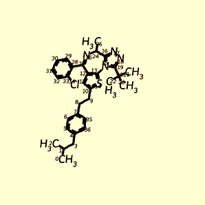 CC(C)Cc1ccc(CCc2cc3c(s2)-n2c(nnc2C(C)(C)C)C(C)N=C3c2ccccc2Cl)cc1